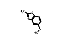 Cc1nc2cc(SO)ccc2s1